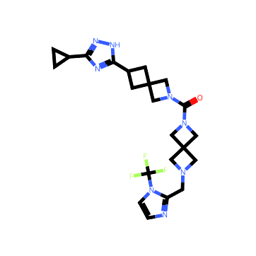 O=C(N1CC2(CC(c3nc(C4CC4)n[nH]3)C2)C1)N1CC2(CN(Cc3nccn3C(F)(F)F)C2)C1